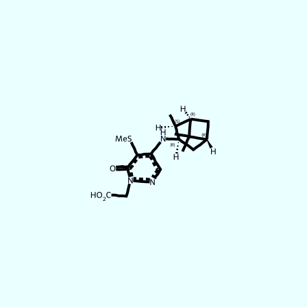 CSc1c(N[C@@H]2C[C@H]3C[C@H]([C@@H]2C)C3(C)C)cnn(CC(=O)O)c1=O